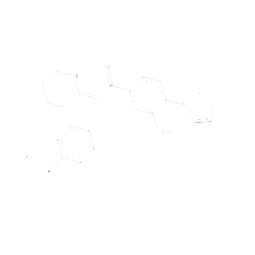 COc1nc(C(=N)/N=C2\NCCC[C@H]2c2cc(C(C)(C)OC)ccc2Cl)ccc1-n1cnc(C)c1